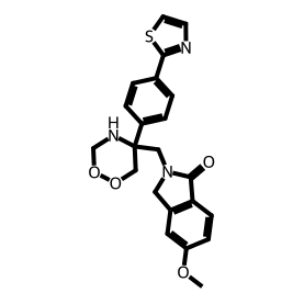 COc1ccc2c(c1)CN(CC1(c3ccc(-c4nccs4)cc3)COOCN1)C2=O